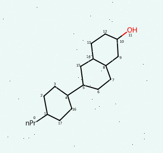 CCCC1CCC(C2CCC3CC(O)CCC3C2)CC1